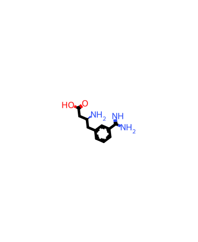 N=C(N)c1cccc(C[C@H](N)CC(=O)O)c1